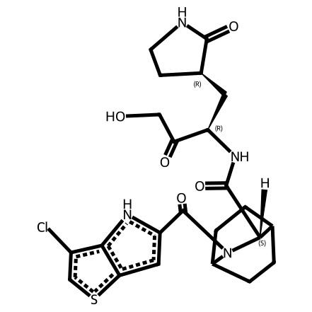 O=C1NCC[C@@H]1C[C@@H](NC(=O)[C@@H]1C2CCC(CC2)N1C(=O)c1cc2scc(Cl)c2[nH]1)C(=O)CO